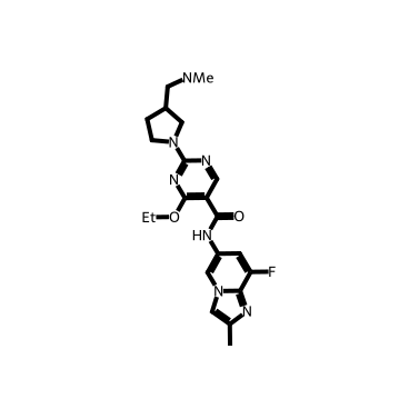 CCOc1nc(N2CCC(CNC)C2)ncc1C(=O)Nc1cc(F)c2nc(C)cn2c1